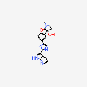 CN1CC[C@@](O)(c2cccc(-c3cnc(-c4c[nH]c5ncccc45)n3C)c2)C1=O